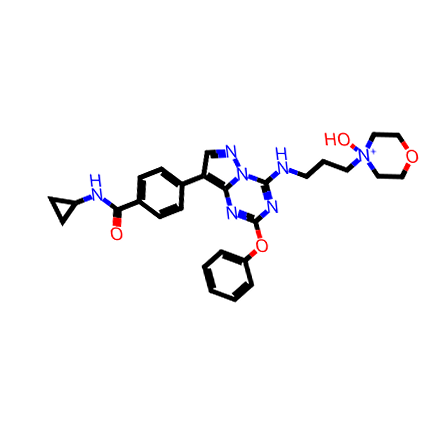 O=C(NC1CC1)c1ccc(-c2cnn3c(NCCC[N+]4(O)CCOCC4)nc(Oc4ccccc4)nc23)cc1